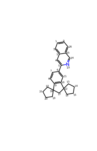 c1ccc2cc(-c3ccc4c(c3)C3(CCCC3)CC43CCCC3)ncc2c1